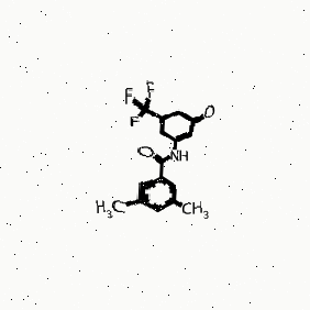 Cc1cc(C)cc(C(=O)NC2=CC(=O)CC(C(F)(F)F)C2)c1